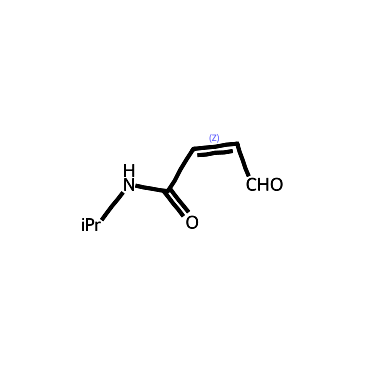 CC(C)NC(=O)/C=C\C=O